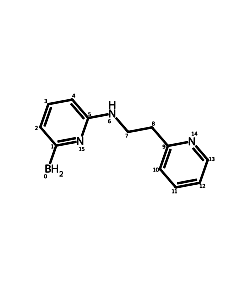 Bc1cccc(NCCc2ccccn2)n1